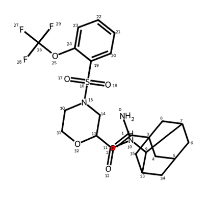 NC(=O)C12CC3CC(C1)C(NC(=O)C1CN(S(=O)(=O)c4ccccc4OC(F)(F)F)CCO1)C(C3)C2